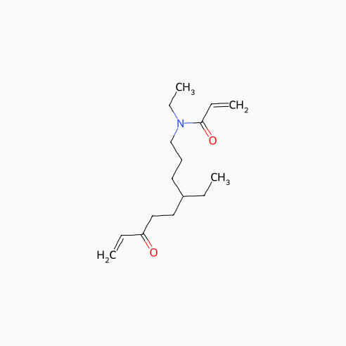 C=CC(=O)CCC(CC)CCCN(CC)C(=O)C=C